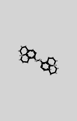 c1cc(SSc2ccc3c4c2CCCN4CCC3)c2c3c1CCCN3CCC2